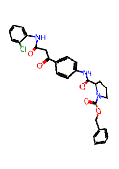 O=C(CC(=O)c1ccc(NC(=O)C2CCCN2C(=O)OCc2ccccc2)cc1)Nc1ccccc1Cl